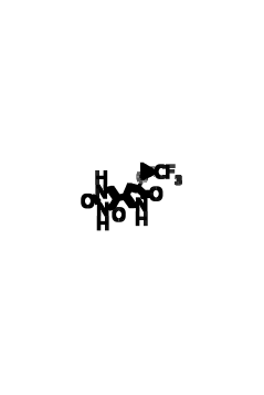 O=c1[nH]cc(-c2c[nH]c(=O)c([C@@H]3C[C@H]3C(F)(F)F)c2)c(=O)[nH]1